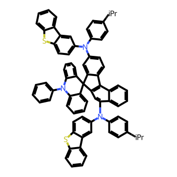 CC(C)c1ccc(N(c2ccc3c(c2)C2(c4ccccc4N(c4ccccc4)c4ccccc42)c2cc(N(c4ccc(C(C)C)cc4)c4ccc5sc6ccccc6c5c4)c4ccccc4c2-3)c2ccc3sc4ccccc4c3c2)cc1